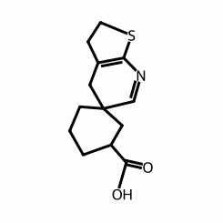 O=C(O)C1CCCC2(C=NC3=C(CCS3)C2)C1